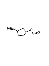 N#CC1CCC(O[C]=O)C1